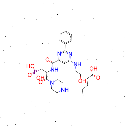 CCCCC(=O)O.O=C(NC(CP(=O)(O)O)C(=O)N1CCNCC1)c1cc(NCCO)nc(-c2ccccc2)n1